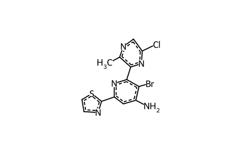 Cc1ncc(Cl)nc1-c1nc(-c2nccs2)cc(N)c1Br